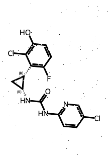 O=C(Nc1ccc(Cl)cn1)N[C@@H]1C[C@@H]1c1c(F)ccc(O)c1Cl